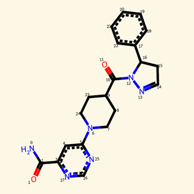 NC(=O)c1cc(N2CCC(C(=O)N3N=CCC3c3ccccc3)CC2)ncn1